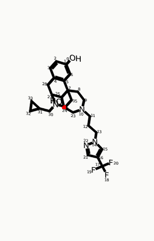 Oc1ccc2c(c1)C13CCN(CCCn4cc(C(F)(F)F)cn4)CCC1(O)C(C2)N(CC1CC1)CC3